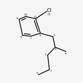 CCCC(C)Cc1ccc[c]c1Cl